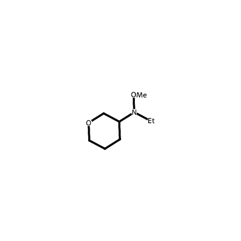 CCN(OC)C1CCCOC1